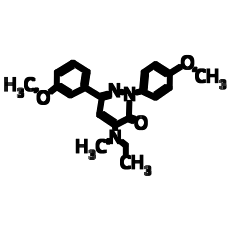 CCN(C)c1cc(-c2cccc(OC)c2)nn(-c2ccc(OC)cc2)c1=O